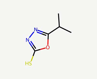 CC(C)c1nnc(S)o1